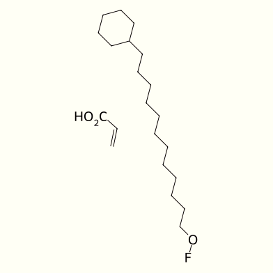 C=CC(=O)O.FOCCCCCCCCCCCCC1CCCCC1